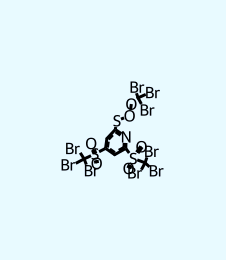 O=S(=O)(c1cc(SOOC(Br)(Br)Br)nc(S(=O)(=O)C(Br)(Br)Br)c1)C(Br)(Br)Br